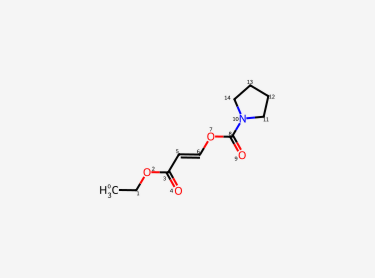 CCOC(=O)/C=C/OC(=O)N1CCCC1